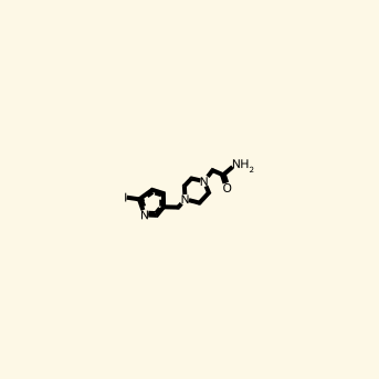 NC(=O)CN1CCN(Cc2ccc(I)nc2)CC1